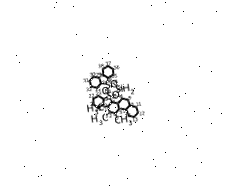 Cc1c(C)c(C)c2c(ccc3ccccc32)c1[Si]1(c2ccccc2)O[SiH2]O[Si](c2ccccc2)(c2ccccc2)O1